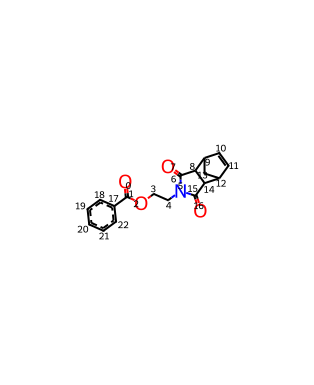 O=C(OCCN1C(=O)C2C3C=CC(C3)C2C1=O)c1ccccc1